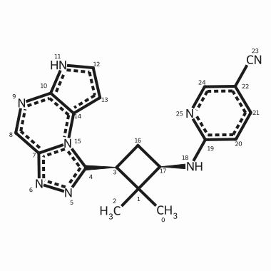 CC1(C)[C@@H](c2nnc3cnc4[nH]ccc4n23)C[C@H]1Nc1ccc(C#N)cn1